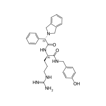 N=C(N)NCCC[C@@H](NC(=O)[C@H](c1ccccc1)N1Cc2ccccc2C1)C(=O)NCc1ccc(O)cc1